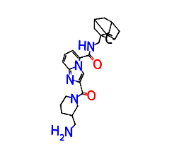 NCC1CCCN(C(=O)c2cn3c(C(=O)NCC45CC6CC(CC(C6)C4)C5)cccc3n2)C1